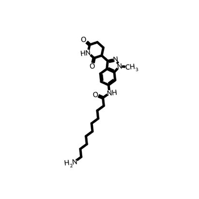 Cn1nc(C2CCC(=O)NC2=O)c2ccc(NC(=O)CCCCCCCCCN)cc21